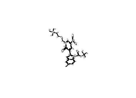 Cc1ccc2c(c1)cc(-c1cc([N+](=O)[O-])cn(COCC[Si](C)(C)C)c1=O)n2C(=O)OC(C)(C)C